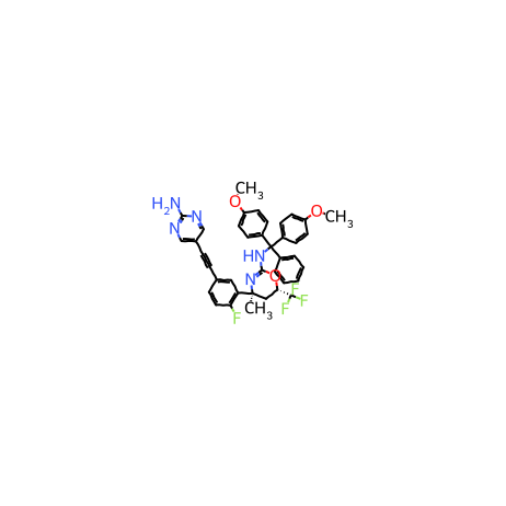 COc1ccc(C(NC2=N[C@](C)(c3cc(C#Cc4cnc(N)nc4)ccc3F)C[C@@H](C(F)(F)F)O2)(c2ccccc2)c2ccc(OC)cc2)cc1